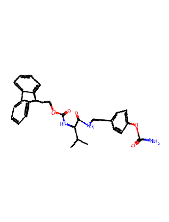 CC(C)C(NC(=O)OCC1c2ccccc2-c2ccccc21)C(=O)NCc1ccc(OC(N)=O)cc1